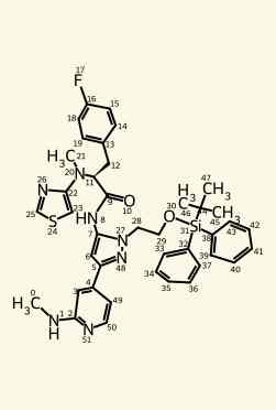 CNc1cc(-c2cc(NC(=O)[C@H](Cc3ccc(F)cc3)N(C)c3cscn3)n(CCO[Si](c3ccccc3)(c3ccccc3)C(C)(C)C)n2)ccn1